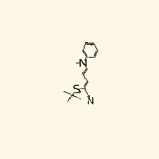 CN(C=CC=C(C#N)SC(C)(C)C)c1ccccc1